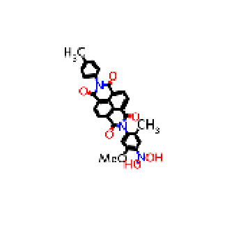 COc1cc(N2C(=O)c3ccc4c5c(ccc(c35)C2=O)C(=O)N(c2ccc(C)cc2)C4=O)c(C)cc1N(O)O